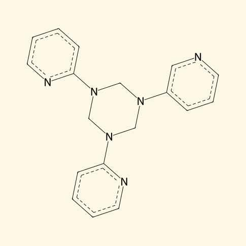 c1ccc(N2CN(c3cccnc3)CN(c3ccccn3)C2)nc1